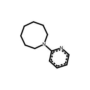 c1ccc(N2CCCCCCC2)nc1